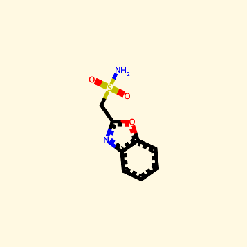 NS(=O)(=O)Cc1nc2ccccc2o1